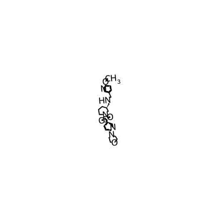 COc1ccc(CNC[C@@H]2CCCN(S(=O)(=O)c3ccc(N4CCOCC4)nc3)C2)cn1